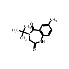 Cc1ccc2c(c1)C(=O)N(C(C)(C)C)CC(=O)N2